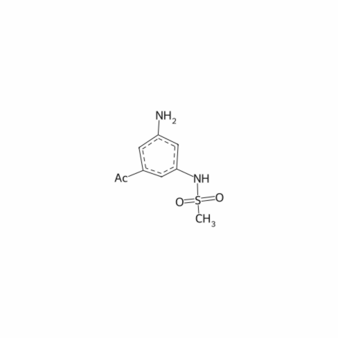 CC(=O)c1cc(N)cc(NS(C)(=O)=O)c1